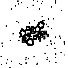 CCc1cccc(C)c1N(c1ccc2c(c1)C(C)(C)c1ccccc1-2)c1c(C)cccc1CC